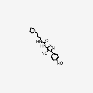 N#Cc1c(-c2ccc(N=O)cc2)nsc1NC(=O)NCCCN1CCCC1